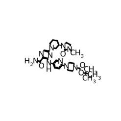 CN1CCN([C@@H]2CCCN(c3cnc(C(N)=O)c(Nc4ccc(N5CCN(C(=O)OC(C)(C)C)CC5)nc4)n3)C2)C1=O